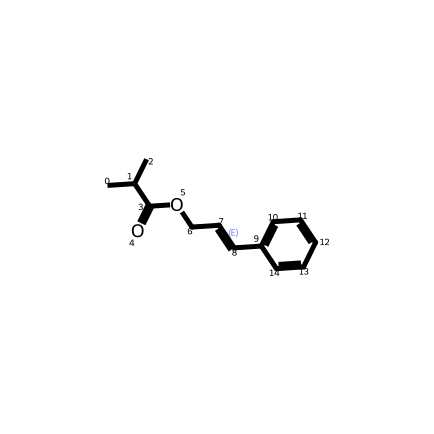 CC(C)C(=O)OC/C=C/c1ccccc1